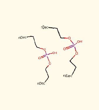 CCCCCCCCCCCCOP(=O)(O)OCCCCCCCCCCCC.CCCCCCCCCCCCOP(=O)(O)OCCCCCCCCCCCC